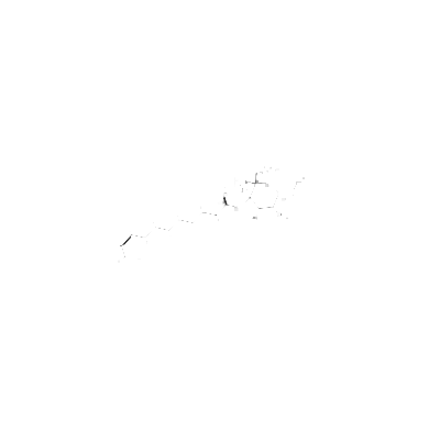 CCCCCCCC/C=C\CCCCCCCC(=O)O[C@]1(O)[C@@H](O)[C@H](O)[C@@H](CO)OC1(O)OC